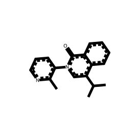 Cc1ncccc1-n1cc(C(C)C)c2ccccc2c1=O